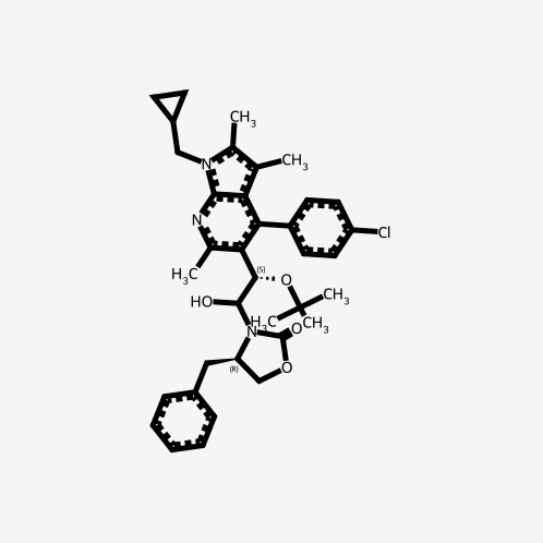 Cc1nc2c(c(C)c(C)n2CC2CC2)c(-c2ccc(Cl)cc2)c1[C@H](OC(C)(C)C)C(O)N1C(=O)OC[C@H]1Cc1ccccc1